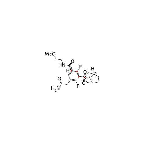 COCCNC(=O)NCCS(=O)(=O)N1C2CC[C@@H]1CC(c1c(F)c(F)cc(CC(N)=O)c1F)C2